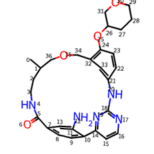 CC1CCNC(=O)c2ccc(c(N)c2)-c2ccnc(n2)Nc2ccc(OC3CCCOC3)c(c2)COC1